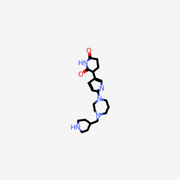 O=C1CCC(c2ccc(N3CCCN(CC4CCNCC4)CC3)nc2)C(=O)N1